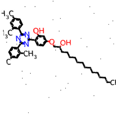 CCCCCCCCCCCCCCC(O)COc1ccc(-c2nc(-c3ccc(C)cc3C)nc(-c3ccc(C)cc3C)n2)c(O)c1